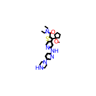 CCN(CC)C(=O)c1sc2cnc(Nc3ccc(N4CCNCC4)cn3)cc2c1C1(OC)CCCC1